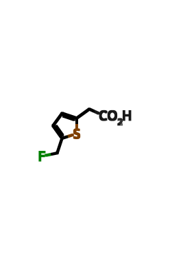 O=C(O)Cc1ccc(CF)s1